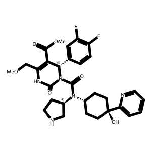 COCC1=C(C(=O)OC)[C@H](c2ccc(F)c(F)c2)N(C(=O)N([C@@H]2CCNC2)[C@H]2CC[C@@](O)(c3ccccn3)CC2)C(=O)N1